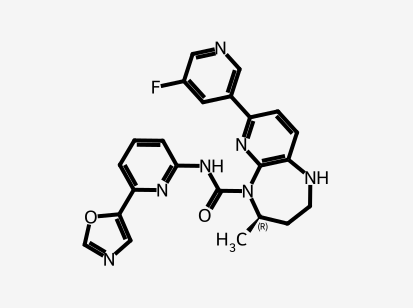 C[C@@H]1CCNc2ccc(-c3cncc(F)c3)nc2N1C(=O)Nc1cccc(-c2cnco2)n1